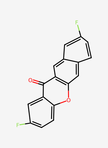 O=c1c2cc(F)ccc2oc2cc3ccc(F)cc3cc12